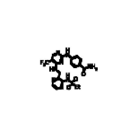 CCS(=O)(=O)Nc1nccnc1CNc1nc(Nc2ccc(C(N)=O)cc2)ncc1C(F)(F)F